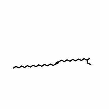 [CH2]CCCCCCCCCCCCCCC#CCCCCCCCCCC(C)C[CH2]